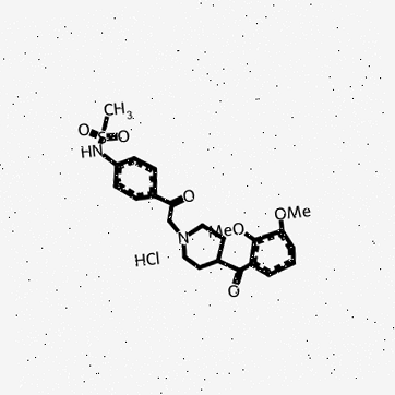 COc1cccc(C(=O)C2CCN(CC(=O)c3ccc(NS(C)(=O)=O)cc3)CC2)c1OC.Cl